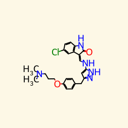 CN(C)CCCOc1ccc(Cc2cc(NC=C3C(=O)Nc4ccc(Cl)cc43)[nH]n2)cc1